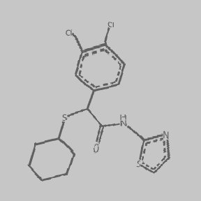 O=C(Nc1nccs1)C(SC1CCCCC1)c1ccc(Cl)c(Cl)c1